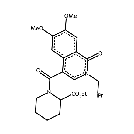 CCOC(=O)C1CCCCN1C(=O)c1cn(CC(C)C)c(=O)c2cc(OC)c(OC)cc12